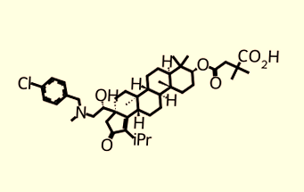 CC(C)C1=C2[C@H]3CC[C@H]4[C@@H](CC[C@H]5C(C)(C)[C@@H](OC(=O)CC(C)(C)C(=O)O)CC[C@]45C)[C@]3(C)CC[C@@]2([C@@H](O)CN(C)Cc2ccc(Cl)cc2)CC1=O